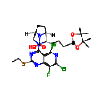 CCSc1nc(N2C[C@H]3CC[C@@H]([C@@H]2CCCB2OC(C)(C)C(C)(C)O2)N3C(=O)O)c2c(Br)nc(Cl)c(F)c2n1